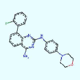 Nc1nc(Nc2ccc(N3CCOCC3)cc2)nc2c(-c3ccccc3F)cccc12